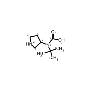 CC(C)(C)N(C(=O)O)C1CCNC1